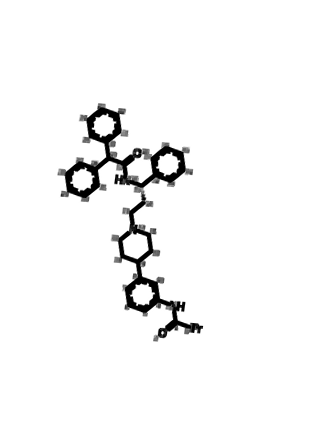 CC(C)C(=O)Nc1cccc(C2CCN(CC[C@H](NC(=O)C(c3ccccc3)c3ccccc3)c3ccccc3)CC2)c1